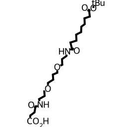 CC(C)(C)OC(=O)CCCCCCCCC(=O)NCCCOCCCCOCCCNC(=O)CCC(=O)O